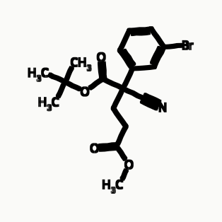 COC(=O)CCC(C#N)(C(=O)OC(C)(C)C)c1cccc(Br)c1